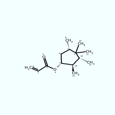 C=CC(=O)O[C@@H]1C[C@H](C)C(C)(C)[C@H](C)[C@H]1C